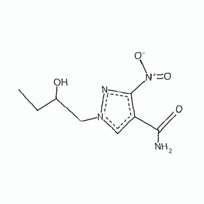 CCC(O)Cn1cc(C(N)=O)c([N+](=O)[O-])n1